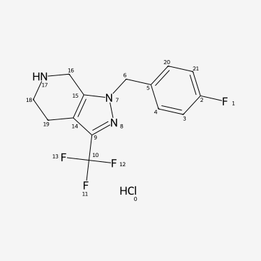 Cl.Fc1ccc(Cn2nc(C(F)(F)F)c3c2CNCC3)cc1